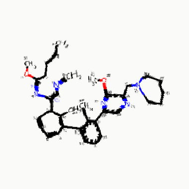 C=N/C=C(\N=C(/CCCC)OC)C1C#CC=CC(c2cccc(-c3cnc(CN4CCCCC4)c(OC)n3)c2C)=C1C